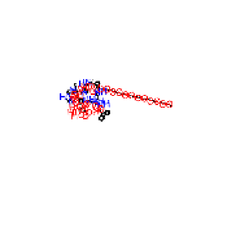 CC[C@H](C)[C@@H]([C@@H](CC(=O)N1CCC[C@H]1[C@H](OC)[C@@H](C)C(=O)N[C@H](C)[C@@H](O)c1ccccc1)OC)N(C)C(=O)[C@@H](NC(=O)[C@H](C(C)C)N(C)C(=O)OCc1ccc(O[C@@H]2O[C@H](C(=O)O)[C@@H](O)[C@H](O)[C@H]2O)c(NC(=O)CCNC(=O)[C@H](CCCCNC(=O)CCOCCOCCOCCOCCOCCOCCOCCOCCOCCOCCOCCOC)NC(=O)OCC2c3ccccc3-c3ccccc32)c1)C(C)C